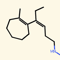 CC/C(=C/CCNC)C1=C(C)CCCCC1